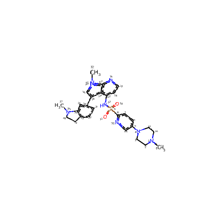 CN1CCN(c2ccc(S(=O)(=O)Nc3ccnc4c3c(-c3ccc5c(c3)N(C)CC5)cn4C)nc2)CC1